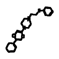 C1=CCCC(C2=COC(N3CCN(CCSc4ccccc4)CC3)=CO2)=C1